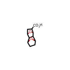 O=C(O)C1CC2OC1C1C3CCC(O3)C21